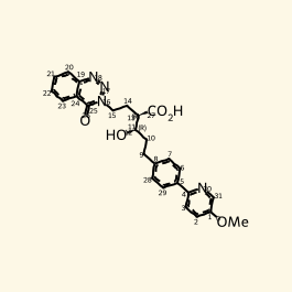 COc1ccc(-c2ccc(CC[C@@H](O)[C@@H](CCn3nnc4ccccc4c3=O)C(=O)O)cc2)nc1